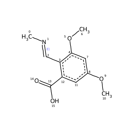 C/N=C/c1c(OC)cc(OC)cc1C(=O)O